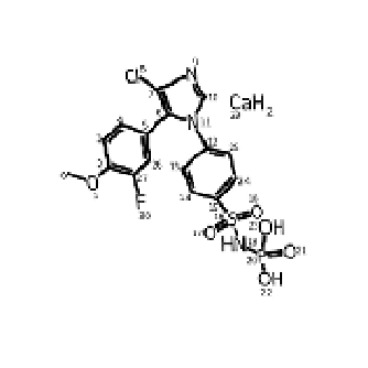 COc1ccc(-c2c(Cl)ncn2-c2ccc(S(=O)(=O)NP(=O)(O)O)cc2)cc1F.[CaH2]